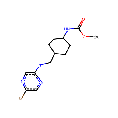 CC(C)(C)OC(=O)NC1CCC(CNc2cnc(Br)cn2)CC1